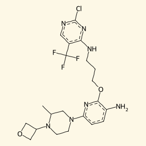 CC1CN(c2ccc(N)c(OCCCNc3nc(Cl)ncc3C(F)(F)F)n2)CCN1C1COC1